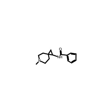 CN1CCC2(CC1)CC2NC(=O)c1ccccc1